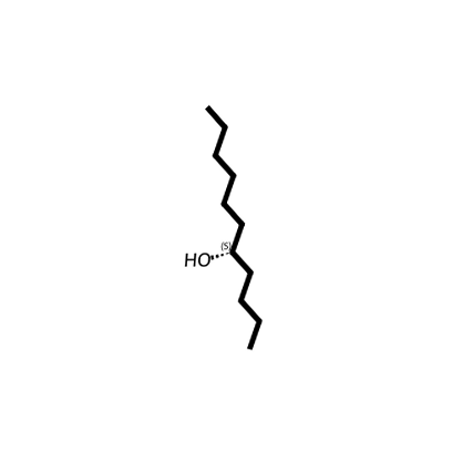 CCCCCC[C@@H](O)CCCC